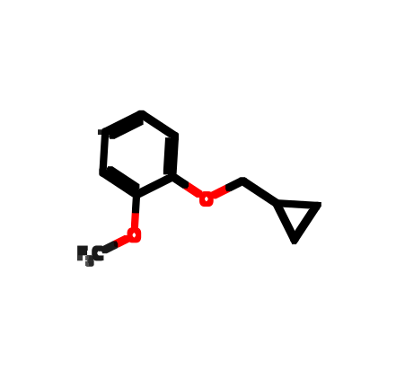 FC(F)(F)Oc1c[c]ccc1OCC1CC1